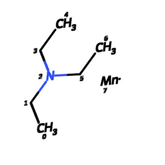 CCN(CC)CC.[Mn]